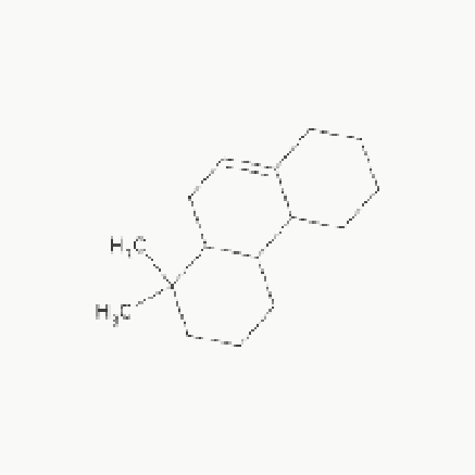 CC1(C)CCCC2C3CCCCC3=CCC21